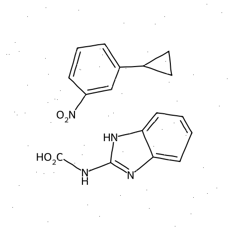 O=C(O)Nc1nc2ccccc2[nH]1.O=[N+]([O-])c1cccc(C2CC2)c1